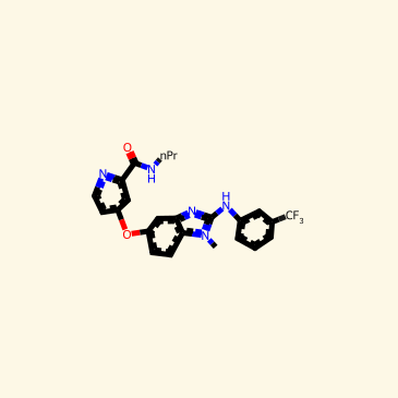 CCCNC(=O)c1cc(Oc2ccc3c(c2)nc(Nc2cccc(C(F)(F)F)c2)n3C)ccn1